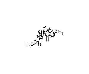 CCOC(=O)c1cc([C@H]2Nc3ccc(C)cc3[C@@H]3OCCC[C@H]23)n(C)n1